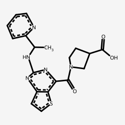 CC(Nc1nc(C(=O)N2CCC(C(=O)O)C2)c2sccc2n1)c1ccccn1